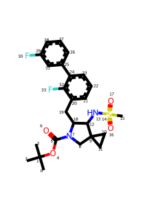 CC(C)(C)OC(=O)N1CC2(CC2)C(NS(C)(=O)=O)C1Cc1cccc(-c2cccc(F)c2)c1F